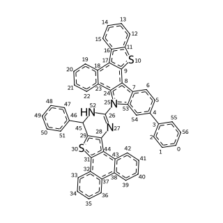 c1ccc(-c2ccc3c4c5sc6ccccc6c5c5ccccc5c4n(C4=Nc5c(sc6c7ccccc7c7ccccc7c56)C(c5ccccc5)N4)c3c2)cc1